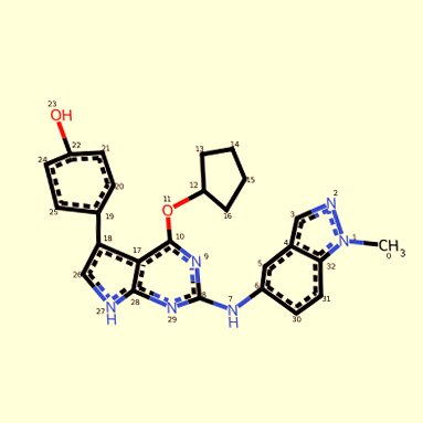 Cn1ncc2cc(Nc3nc(OC4CCCC4)c4c(-c5ccc(O)cc5)c[nH]c4n3)ccc21